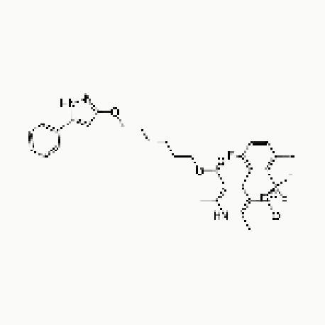 COC(=O)C1=C(C)NC(C)=C(C(=O)OCCCCCCOc2cc(-c3ccccc3)[nH]n2)C1c1c(F)ccc(F)c1C(F)(F)F